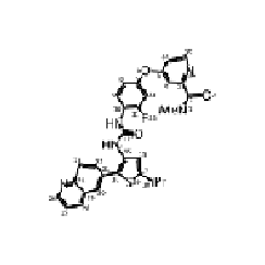 CNC(=O)c1cc(Oc2ccc(NC(=O)Nc3cc(C(C)C)sc3-c3ccc4ncccc4c3)c(F)c2)ccn1